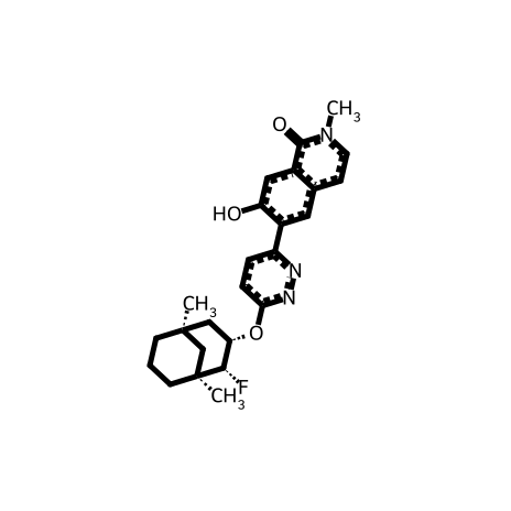 Cn1ccc2cc(-c3ccc(O[C@H]4C[C@]5(C)CCC[C@@](C)(C5)[C@H]4F)nn3)c(O)cc2c1=O